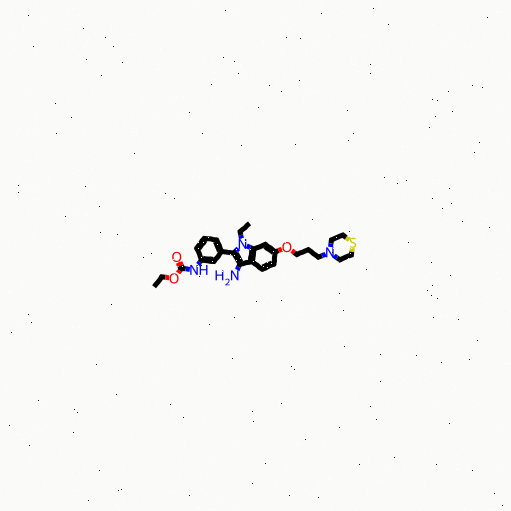 CCOC(=O)Nc1cccc(-c2c(N)c3ccc(OCCCN4CCSCC4)cc3n2CC)c1